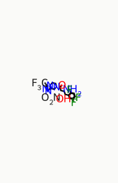 N[C@@H](CC(=O)N1CCn2c(nnc2C(F)(F)F)C1)Cc1cc(F)c(F)cc1F.O=[N+]([O-])O